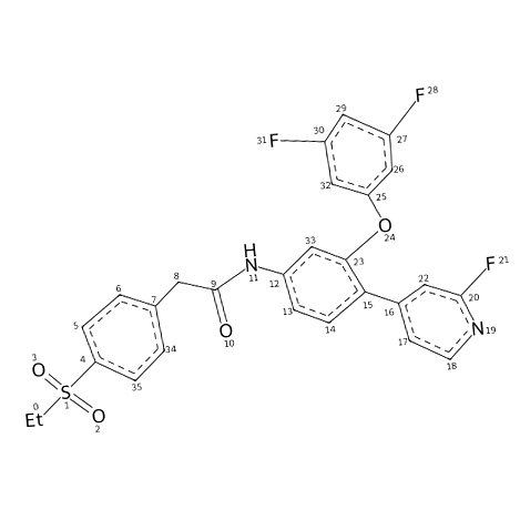 CCS(=O)(=O)c1ccc(CC(=O)Nc2ccc(-c3ccnc(F)c3)c(Oc3cc(F)cc(F)c3)c2)cc1